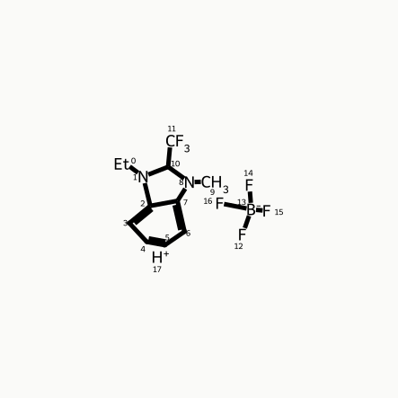 CCN1c2ccccc2N(C)C1C(F)(F)F.F[B-](F)(F)F.[H+]